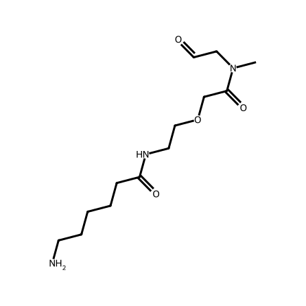 CN(CC=O)C(=O)COCCNC(=O)CCCCCN